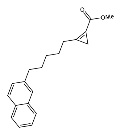 COC(=O)C1=C(CCCCCc2ccc3ccccc3c2)C1